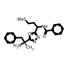 CSCCC(NC(=O)c1ccccc1)c1nnc([C@](C)(N)Cc2ccccc2)o1